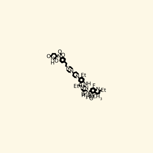 CCOc1cc(N2CCC(N3CCN(CCc4ccc5c(c4)oc(=O)n5C4CCC(=O)NC4=O)CC3)CC2)c(CC)cc1Nc1ncc(Br)c(Nc2cc(F)c3nc(CC)ccc3c2P(C)(C)=O)n1